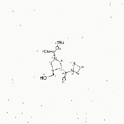 CC(C)(C)OC(=O)N1C[C@H](CO)[C@@H](C(=O)N2CCC2)C1